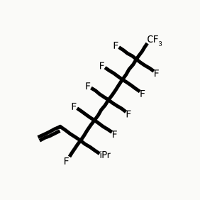 C=CC(F)(C(C)C)C(F)(F)C(F)(F)C(F)(F)C(F)(F)C(F)(F)F